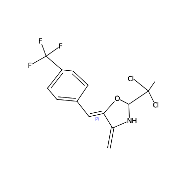 C=C1NC(C(C)(Cl)Cl)O/C1=C\c1ccc(C(F)(F)F)cc1